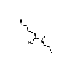 C=CCCCC(O)/C(C)=C/CC